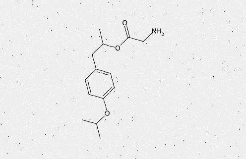 CC(C)Oc1ccc(CC(C)OC(=O)CN)cc1